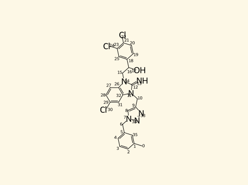 Cc1cccc(Cn2cc(Cn3c(=N)n(CC(O)c4ccc(Cl)c(Cl)c4)c4ccc(Cl)cc43)nn2)c1